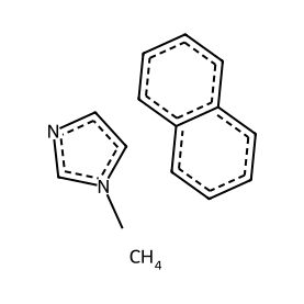 C.Cn1ccnc1.c1ccc2ccccc2c1